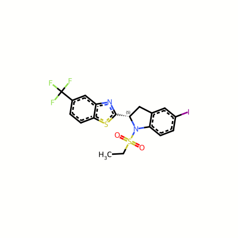 CCS(=O)(=O)N1c2ccc(I)cc2C[C@H]1c1nc2cc(C(F)(F)F)ccc2s1